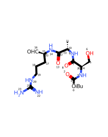 CC(C)COC(=O)N[C@H](CO)C(=O)N[C@@H](C)C(=O)N[C@H](C=O)CCCNC(=N)N